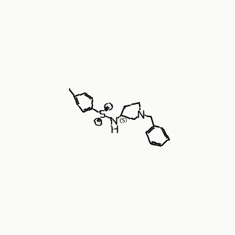 Cc1ccc(S(=O)(=O)N[C@H]2CCN(Cc3ccccc3)C2)cc1